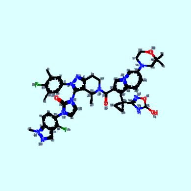 Cc1cc(-n2nc3c(c2-n2ccn(-c4ccc5c(cnn5C)c4F)c2=O)[C@H](C)N(C(=O)c2cn4cc(N5CCOC(C)(C)C5)ccc4c2C2(C4=NOC(O)N4)CC2)CC3)cc(C)c1F